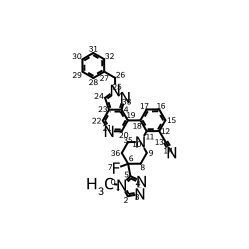 Cn1cnnc1C1(F)CCN(c2c(C#N)cccc2-c2cncc3cn(Cc4ccccc4)nc23)CC1